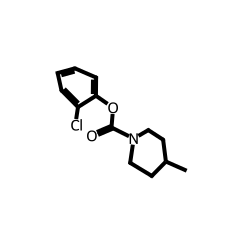 CC1CCN(C(=O)Oc2ccccc2Cl)CC1